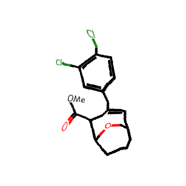 COC(=O)C1C(c2ccc(Cl)c(Cl)c2)=CC2CCC1O2